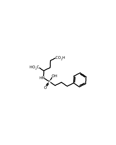 O=C(O)CCC(NP(=O)(O)CCCc1ccccc1)C(=O)O